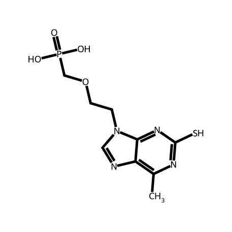 Cc1nc(S)nc2c1ncn2CCOCP(=O)(O)O